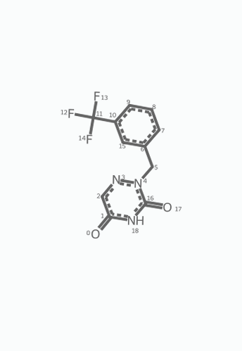 O=c1cnn(Cc2cccc(C(F)(F)F)c2)c(=O)[nH]1